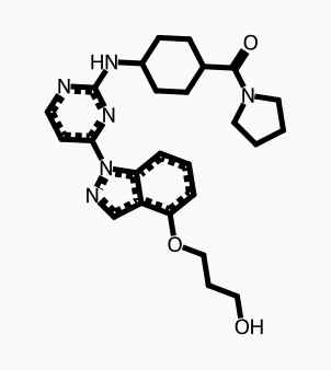 O=C(C1CCC(Nc2nccc(-n3ncc4c(OCCCO)cccc43)n2)CC1)N1CCCC1